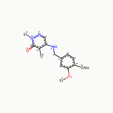 CCOc1cc(CNc2cnn(CC)c(=O)c2CC)ccc1OC